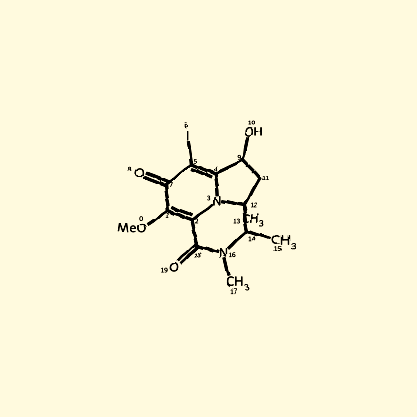 COc1c2n3c(c(I)c1=O)C(O)CC3(C)C(C)N(C)C2=O